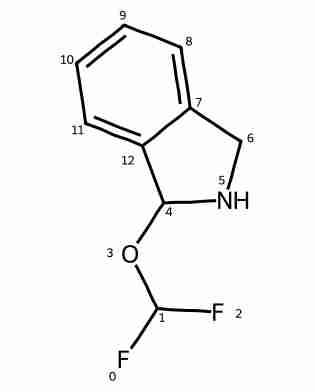 FC(F)OC1NCc2ccccc21